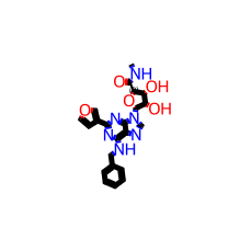 CNC(=O)[C@@H]1OC(n2cnc3c(NCc4ccccc4)nc(-c4ccoc4)nc32)C(O)C1O